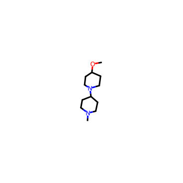 COC1CCN(C2CCN(C)CC2)CC1